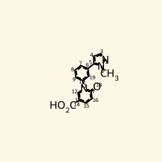 Cn1nccc1-c1cccc(-n2cc(C(=O)O)ccc2=O)c1